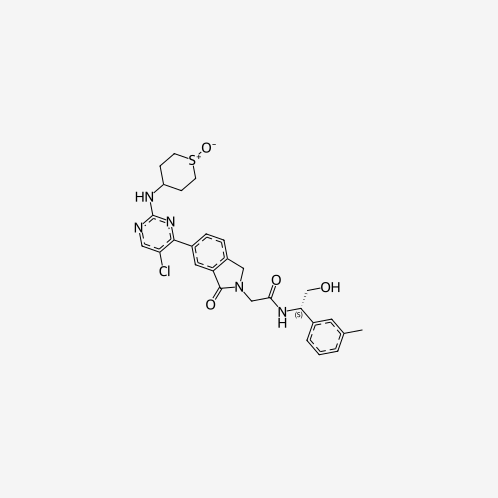 Cc1cccc([C@@H](CO)NC(=O)CN2Cc3ccc(-c4nc(NC5CC[S+]([O-])CC5)ncc4Cl)cc3C2=O)c1